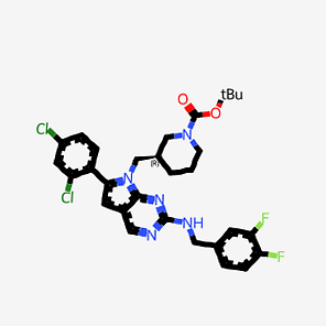 CC(C)(C)OC(=O)N1CCC[C@@H](Cn2c(-c3ccc(Cl)cc3Cl)cc3cnc(NCc4ccc(F)c(F)c4)nc32)C1